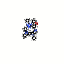 c1ccc(-c2nc(-c3cccc(-n4c5ccccc5c5cc6c(cc54)c4cnccc4n6-c4ccccc4)c3)nc(-c3cccc4oc5ccccc5c34)n2)cc1